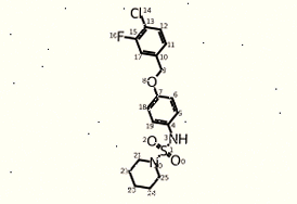 O=S(=O)(Nc1ccc(OCc2ccc(Cl)c(F)c2)cc1)N1CCCCC1